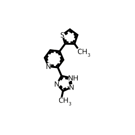 Cc1n[nH]c(-c2cc(-c3sccc3C)ccn2)n1